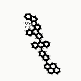 C[Si]1(C)c2c(ccc3ccccc23)-c2ccc3c4ccc(-c5c6ccccc6c(-c6ccc7cc(C8=CC=C9C=CC%10=C%11C(=CC=C8C9%11)CC=C%10)ccc7c6)c6ccccc56)cc4c4ccccc4c3c21